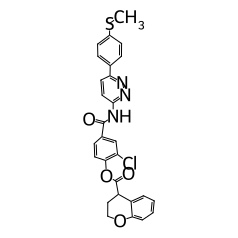 CSc1ccc(-c2ccc(NC(=O)c3ccc(OC(=O)C4CCOc5ccccc54)c(Cl)c3)nn2)cc1